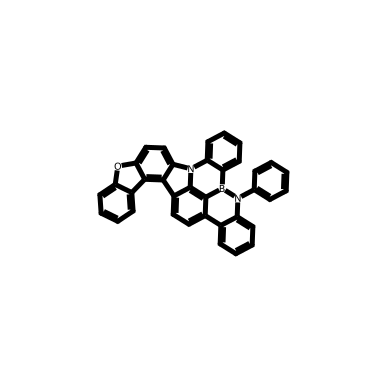 c1ccc(N2B3c4ccccc4-n4c5ccc6oc7ccccc7c6c5c5ccc(c3c54)-c3ccccc32)cc1